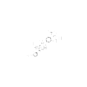 Cc1cc(NC(=O)C(C)(C)NC(=O)c2ccc(Br)s2)ccc1N1C(=S)CCC1C